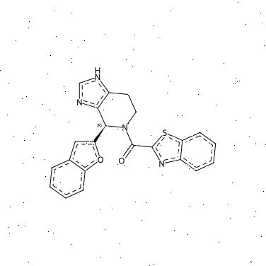 O=C(c1nc2ccccc2s1)N1CCc2[nH]cnc2[C@@H]1c1cc2ccccc2o1